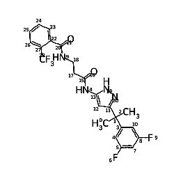 CC(C)(c1cc(F)cc(F)c1)c1cc(NC(=O)CCNC(=O)c2ccccc2C(F)(F)F)[nH]n1